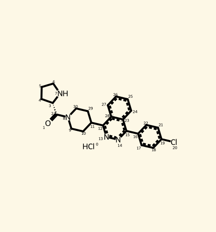 Cl.O=C([C@@H]1CCCN1)N1CCC(c2nnc(-c3ccc(Cl)cc3)c3ccccc23)CC1